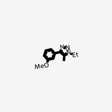 CCn1nnc(-c2cccc(OC)c2)c1C